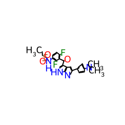 CCCS(=O)(=O)Nc1ccc(F)c(C(=O)c2c[nH]c3ncc(-c4ccc(N(C)C)cc4)cc23)c1F